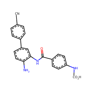 N#Cc1ccc(-c2ccc(N)c(NC(=O)c3ccc(NC(=O)O)cc3)c2)cc1